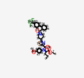 CCCC(C(=O)OCC)N(C(=O)c1csc(C2CCN(C(=O)c3ccccc3-c3ccc(C(F)(F)F)cc3)CC2)n1)c1ccc(OC)cc1